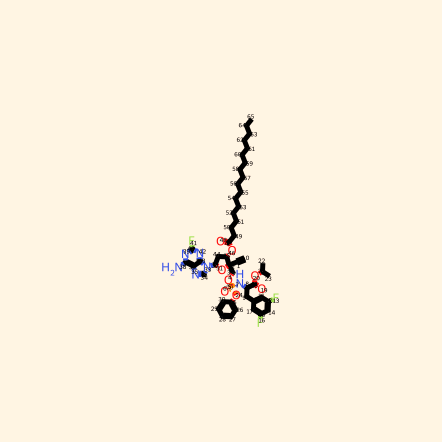 C#CC1(CO[P@@](=O)(NC(Cc2cc(F)cc(F)c2)C(=O)OC(C)C)Oc2ccccc2)OC(n2cnc3c(N)nc(F)nc32)CC1OC(=O)CCCCCCCCCCCCCCCCC